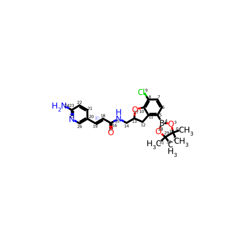 CC1(C)OB(c2ccc(Cl)c3c2CC(CNC(=O)/C=C/c2ccc(N)nc2)O3)OC1(C)C